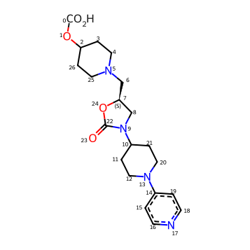 O=C(O)OC1CCN(C[C@H]2CN(C3CCN(c4ccncc4)CC3)C(=O)O2)CC1